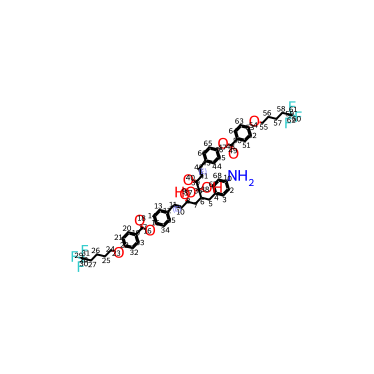 Nc1ccc(CC(CC(=O)/C=C/c2ccc(OC(=O)c3ccc(OCCCCC(F)(F)F)cc3)cc2)C(O)(O)C(=O)/C=C/c2ccc(OC(=O)c3ccc(OCCCCC(F)(F)F)cc3)cc2)cc1